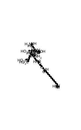 CC(=O)N1C[C@H](O)C[C@H]1C(=O)N[C@@H](CCCNC(=N)N)C(=O)N[C@@H](CC(=O)O)C(=O)N[C@@H](CCCCN(CC(=O)O)CC(=O)O)C(=O)N[C@@H](CCCCNC(=O)COCCOCCNC(=O)CCCCCCCCCCCCCCCc1nnn[nH]1)C(N)=O